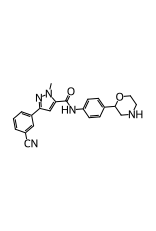 Cn1nc(-c2cccc(C#N)c2)cc1C(=O)Nc1ccc(C2CNCCO2)cc1